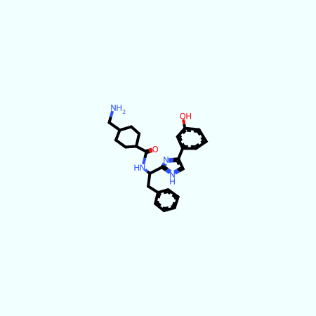 NCC1CCC(C(=O)NC(Cc2ccccc2)c2nc(-c3cccc(O)c3)c[nH]2)CC1